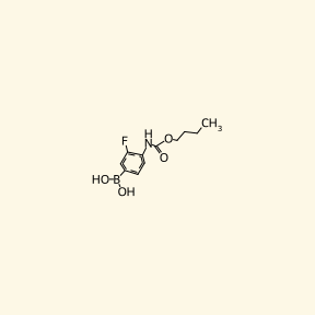 CCCCOC(=O)Nc1ccc(B(O)O)cc1F